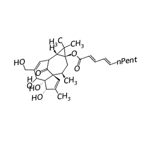 CCCCC/C=C/C=C/C(=O)O[C@@]12C[C@@H](C)[C@]34C=C(C)[C@H](O)[C@@]3(O)C(O)C(CO)=CC(C4=O)[C@@H]1C2(C)C